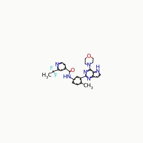 Cc1ccc(NC(=O)c2ccnc(C(C)(F)F)c2)cc1-c1nc(N2CCOCC2)c2[nH]ccc2n1